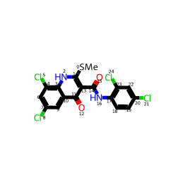 CSc1[nH]c2c(Cl)cc(Cl)cc2c(=O)c1C(=O)Nc1ccc(Cl)cc1Cl